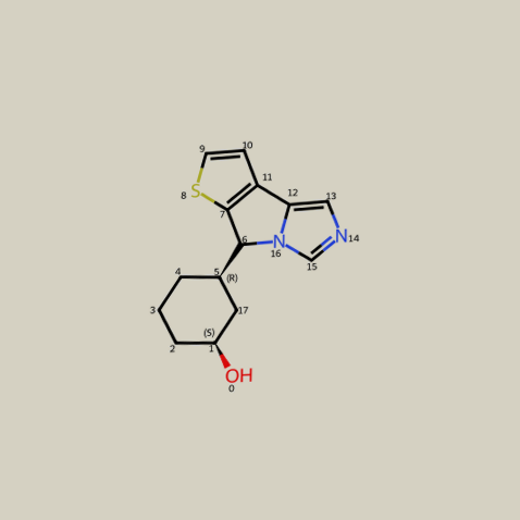 O[C@H]1CCC[C@@H](C2c3sccc3-c3cncn32)C1